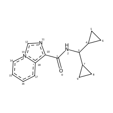 O=C(NC(C1CC1)C1CC1)c1ncn2ccccc12